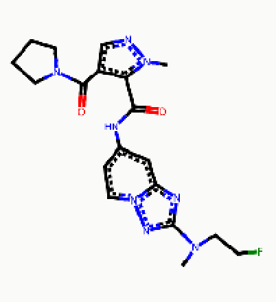 CN(CCF)c1nc2cc(NC(=O)c3c(C(=O)N4CCCC4)cnn3C)ccn2n1